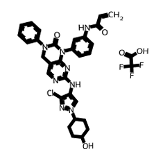 C=CC(=O)Nc1cccc(N2C(=O)N(c3ccccc3)Cc3cnc(Nc4cn(C5CCC(O)CC5)nc4Cl)nc32)c1.O=C(O)C(F)(F)F